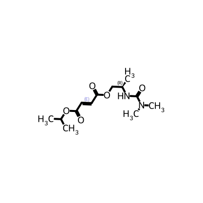 CC(C)OC(=O)/C=C/C(=O)OC[C@@H](C)NC(=O)N(C)C